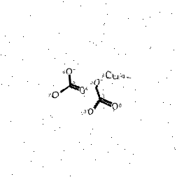 O=C([O-])[O-].O=C([O-])[O-].[Cu+4]